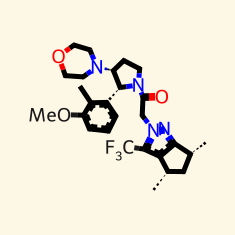 COc1cccc([C@@H]2[C@H](N3CCOCC3)CCN2C(=O)Cn2nc3c(c2C(F)(F)F)[C@@H](C)C[C@H]3C)c1C